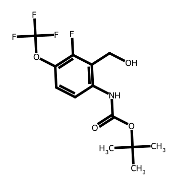 CC(C)(C)OC(=O)Nc1ccc(OC(F)(F)F)c(F)c1CO